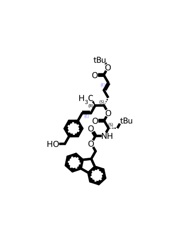 C[C@H](/C=C/c1ccc(CO)cc1)[C@H](C/C=C/C(=O)OC(C)(C)C)OC(=O)[C@H](CC(C)(C)C)NC(=O)OCC1c2ccccc2-c2ccccc21